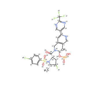 Cc1cnc(-c2cnc(C(F)(F)F)nc2)cc1CN(CO[PH](=O)O)C(=O)[C@@H]1C[C@@H](F)[C@H](C)N1S(=O)(=O)c1ccc(F)cc1